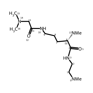 CNCCNC(=O)[C@H](CCCNC(=O)CN(C)C)NC